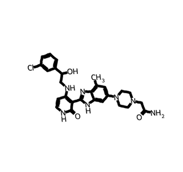 Cc1cc(N2CCN(CC(N)=O)CC2)cc2[nH]c(-c3c(NCC(O)c4cccc(Cl)c4)cc[nH]c3=O)nc12